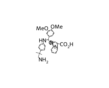 COc1ccc(C(=O)Nc2ccc(C(C)(C)CN)cc2)cc1OC.O=C(O)c1cnc2ccccn12